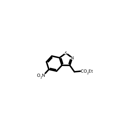 CCOC(=O)Cc1nsc2ccc([N+](=O)[O-])cc12